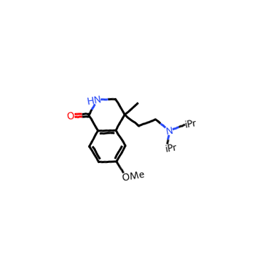 COc1ccc2c(c1)C(C)(CCN(C(C)C)C(C)C)CNC2=O